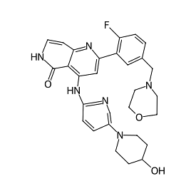 O=c1[nH]ccc2nc(-c3cc(CN4CCOCC4)ccc3F)cc(Nc3ccc(N4CCC(O)CC4)cn3)c12